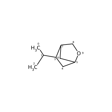 CC(C)C1CC2CC1CO2